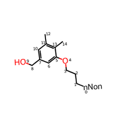 CCCCCCCCCCCCOc1cc(CO)cc(C)c1C